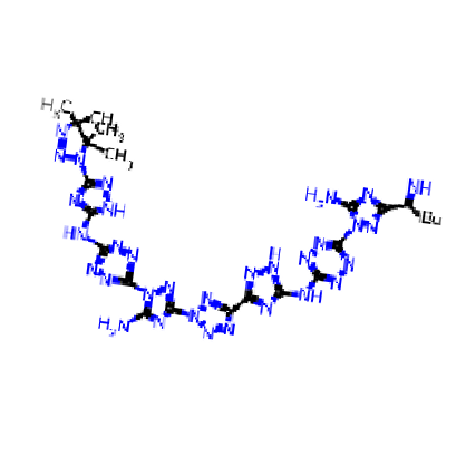 CCC(C)C(=N)c1nc(N)n(-c2nnc(Nc3nc(-c4nnn(-c5nc(N)n(-c6nnc(Nc7nc(N8N=NC(C)(C)C8(C)C)n[nH]7)nn6)n5)n4)n[nH]3)nn2)n1